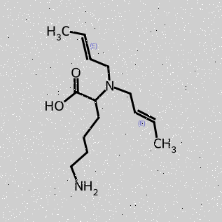 C/C=C/CN(C/C=C/C)C(CCCCN)C(=O)O